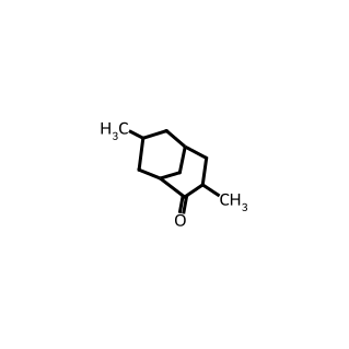 CC1CC2CC(C)C(=O)C(C1)C2